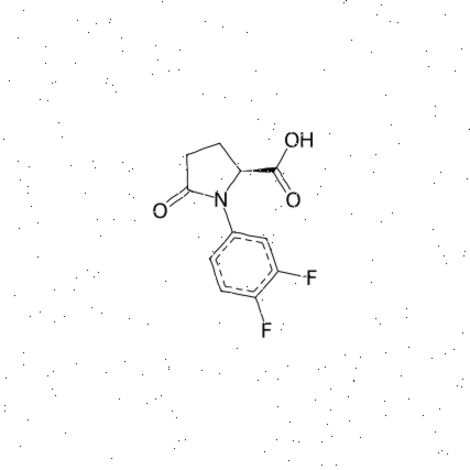 O=C(O)[C@@H]1CCC(=O)N1c1ccc(F)c(F)c1